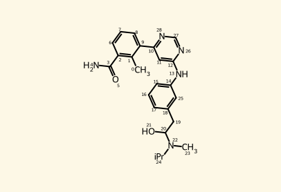 Cc1c(C(N)=O)cccc1-c1cc(Nc2cccc(CC(O)N(C)C(C)C)c2)ncn1